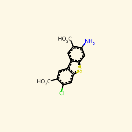 Nc1cc2sc3cc(Cl)c(C(=O)O)cc3c2cc1C(=O)O